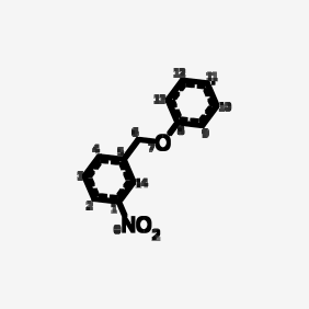 O=[N+]([O-])c1cccc(COc2cc[c]cc2)c1